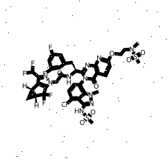 CN(CCOc1ccc2c(=O)n(-c3ccc(Cl)c4c(NS(C)(=O)=O)nn(C)c34)c([C@H](Cc3cc(F)cc(F)c3)NC(=O)Cn3nc(C(F)F)c4c3C(F)(F)[C@@H]3C[C@H]43)nc2n1)S(C)(=O)=O